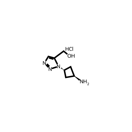 Cl.N[C@H]1C[C@H](n2nncc2CO)C1